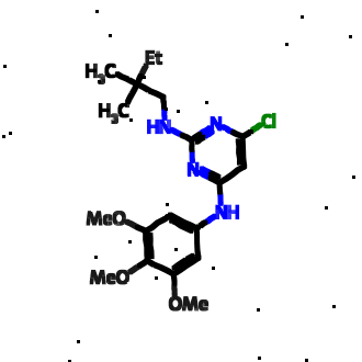 CCC(C)(C)CNc1nc(Cl)cc(Nc2cc(OC)c(OC)c(OC)c2)n1